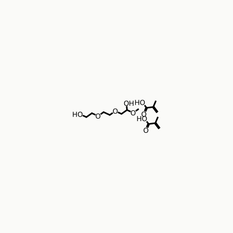 C=C(C)C(=O)O.C=C(C)C(=O)O.COC(O)COCCOCCO